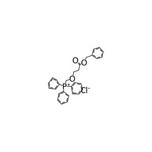 O=C(CCOC[P+](c1ccccc1)(c1ccccc1)c1ccccc1)OCc1ccccc1.[Cl-]